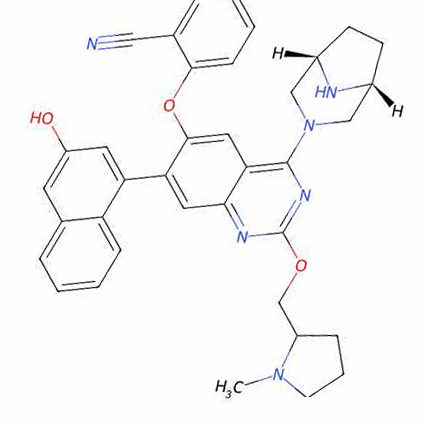 CN1CCCC1COc1nc(N2C[C@H]3CC[C@@H](C2)N3)c2cc(Oc3ccccc3C#N)c(-c3cc(O)cc4ccccc34)cc2n1